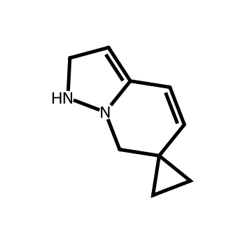 C1=CC2(CC2)CN2NCC=C12